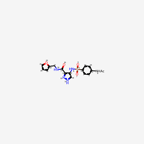 CC(=O)Nc1ccc(S(=O)(=O)Nc2c[nH]nc2C(=O)NCc2ccco2)cc1